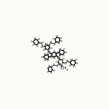 CN1C(CCc2ccccc2)=CC(n2c3ccccc3c3cc4c(cc32)c2ccccc2n4-c2cc(CCc3ccccc3)nc(CCc3ccccc3)c2)=CC1CCc1ccccc1